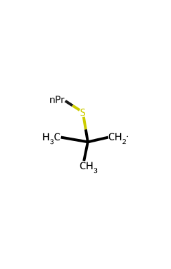 [CH2]C(C)(C)SCCC